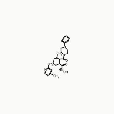 Cc1ccnc(O[C@H]2CC(C(=O)NO)C(C(=O)N3CCN(c4ccccc4)CC3)N(C)C2)c1